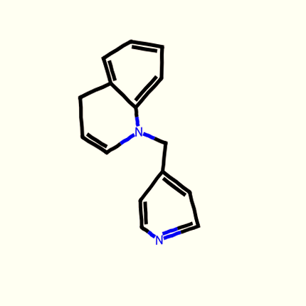 C1=CN(Cc2ccncc2)c2ccccc2C1